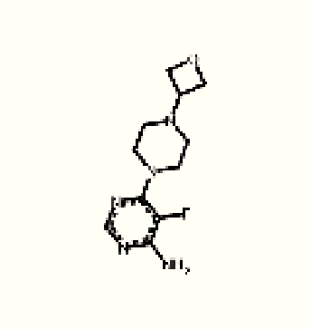 Nc1ncnc(N2CCN(C3COC3)CC2)c1F